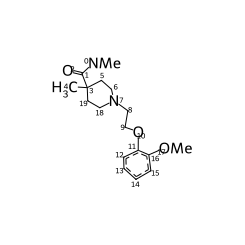 CNC(=O)C1(C)CCN(CCOc2ccccc2OC)CC1